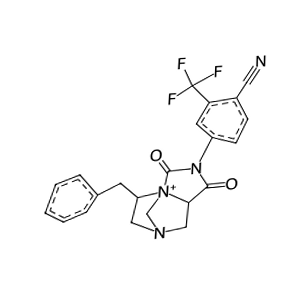 N#Cc1ccc(N2C(=O)C3CN4CC(Cc5ccccc5)[N+]3(C4)C2=O)cc1C(F)(F)F